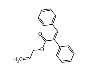 C=CCOC(=O)C(=Cc1ccccc1)c1ccccc1